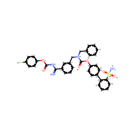 N=C(NC(=O)Oc1ccc(F)cc1)c1cccc(CN(Cc2ccccc2)C(=O)Oc2ccc(-c3ccccc3S(N)(=O)=O)cc2)c1